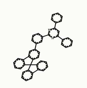 c1ccc(-c2cc(-c3ccccc3)nc(-c3cccc(-c4ccc5c(c4)-c4ccccc4C54c5ccccc5-c5ccccc54)c3)n2)cc1